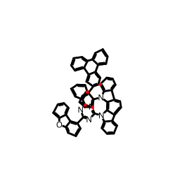 c1ccc(-c2nc(-c3cccc4oc5ccccc5c34)nc(-n3c4ccccc4c4ccc5c6ccccc6n(-c6ccccc6-c6ccc7c8ccccc8c8ccccc8c7c6)c5c43)n2)cc1